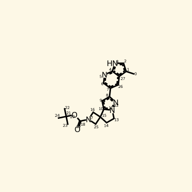 Cc1c[nH]c2ncc(-c3cc4n(n3)CCC43CN(C(=O)OC(C)(C)C)C3)cc12